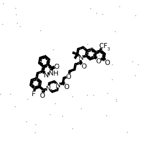 CC1(C)CCc2cc3c(C(F)(F)F)cc(=O)oc3cc2N1C(=O)CCCOCC(=O)N1CCN(C(=O)c2cc(Cc3n[nH]c(=O)c4ccccc34)ccc2F)CC1